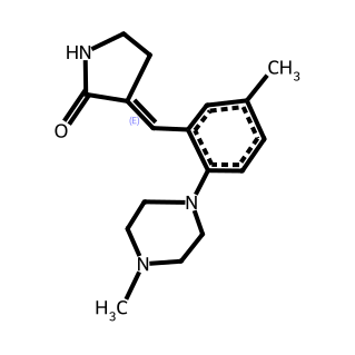 Cc1ccc(N2CCN(C)CC2)c(/C=C2\CCNC2=O)c1